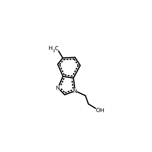 Cc1ccc2c(c1)ncn2CCO